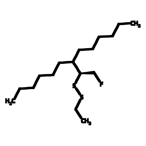 CCCCCCC(CCCCCC)[C@@H](CF)SSCC